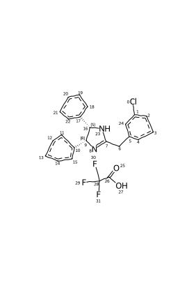 Clc1cccc(CC2=N[C@H](c3ccccc3)[C@H](c3ccccc3)N2)c1.O=C(O)C(F)(F)F